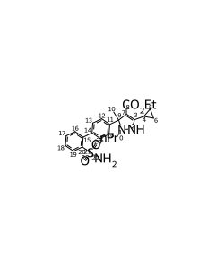 CCCN1NC(C2CC2)=C(C(=O)OCC)C1(C)c1ccc(-c2ccccc2S(N)(=O)=O)cc1